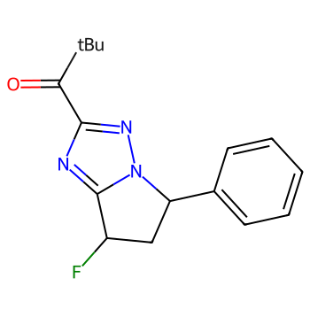 CC(C)(C)C(=O)c1nc2n(n1)C(c1ccccc1)CC2F